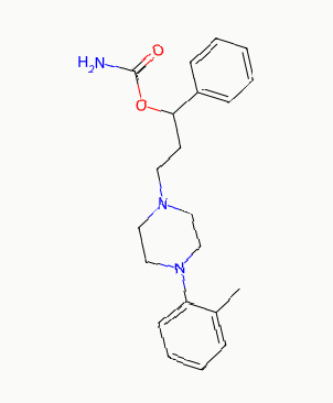 Cc1ccccc1N1CCN(CCC(OC(N)=O)c2ccccc2)CC1